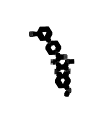 COc1ccc2nc(NC(=O)N3CCN(c4cccc(Cl)c4)CC3)c(OC)nc2c1